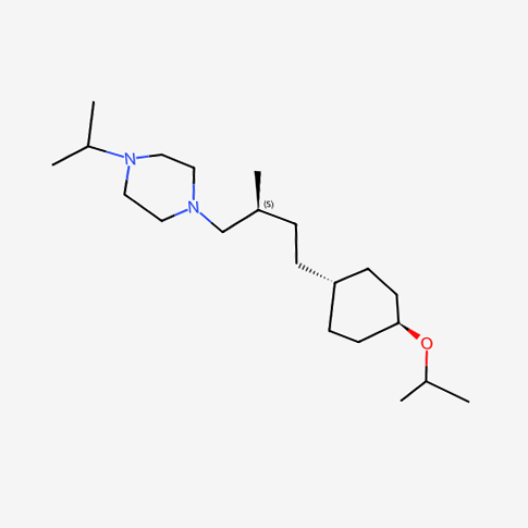 CC(C)O[C@H]1CC[C@H](CC[C@H](C)CN2CCN(C(C)C)CC2)CC1